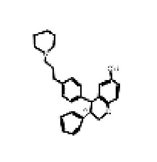 Oc1ccc2c(c1)C(c1ccc(CCCN3CCCCC3)cc1)[C@@H](c1ccccc1)CO2